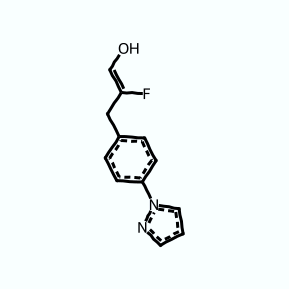 O/C=C(\F)Cc1ccc(-n2cccn2)cc1